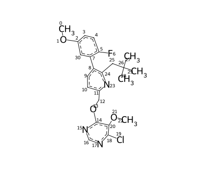 COc1ccc(F)c(-c2ccc(COc3ncnc(Cl)c3OC)nc2CC(C)(C)C)c1